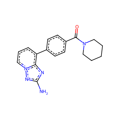 Nc1nc2c(-c3ccc(C(=O)N4CCCCC4)cc3)cccn2n1